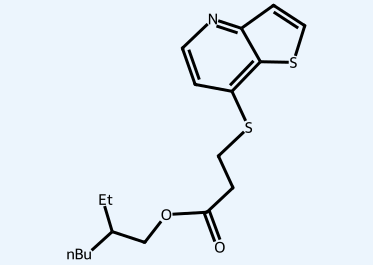 CCCCC(CC)COC(=O)CCSc1ccnc2ccsc12